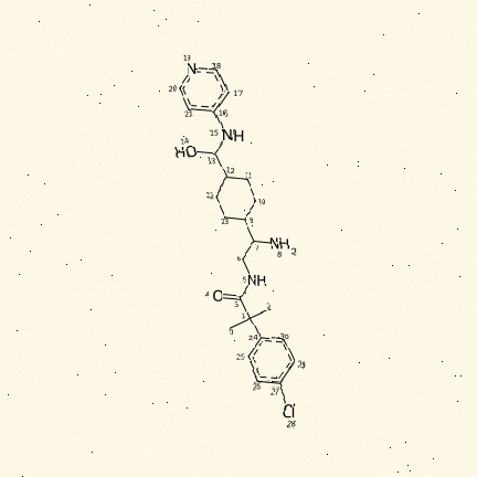 CC(C)(C(=O)NCC(N)C1CCC(C(O)Nc2ccncc2)CC1)c1ccc(Cl)cc1